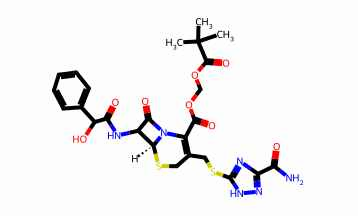 CC(C)(C)C(=O)OCOC(=O)C1=C(CSc2nc(C(N)=O)n[nH]2)CS[C@H]2C(NC(=O)C(O)c3ccccc3)C(=O)N12